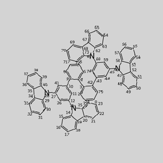 c1ccc(-c2ccccc2-c2cc(-n3c4ccccc4c4ccccc43)cc(-n3c4ccccc4c4ccccc43)c2)c(-c2cc(-n3c4ccccc4c4ccccc43)cc(-n3c4ccccc4c4ccccc43)c2)c1